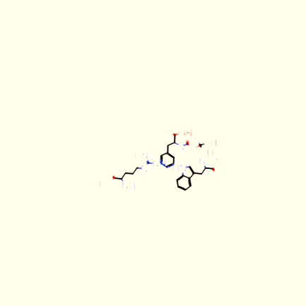 CC(C)(C)OC(=O)NC(Cc1ccccc1)C(=O)O.N=C(N)NCCCC(N)C(=O)O.NC(Cc1c[nH]c2ccccc12)C(=O)O